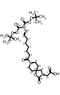 CC(C)(C)OOC(=O)N(N=CCCCCCC(=O)N1CCC2(CC1)CN(CC(=O)O)C(=O)O2)C(=O)OOC(C)(C)C